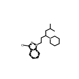 CC(C)CC(CCn1nc(Cl)c2ccccc21)N1CCCCC1